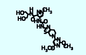 COc1cc(N2CCc3nc(NC(=O)Nc4cn(C)nc4C(=O)NC(CO)CO)sc3C2)nc(OC)n1